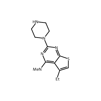 CCc1csc2nc(N3CCNCC3)nc(NC)c12